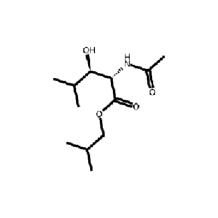 CC(=O)N[C@H](C(=O)OCC(C)C)[C@H](O)C(C)C